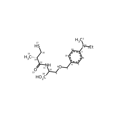 CCN(C)c1ccc(COCC(NC(=O)[C@H](C)CS)C(=O)O)cc1